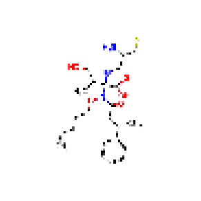 CCCCCON(C(=O)C[C@H](C)c1ccccc1)[C@@](NCC(N)CS)(C(=O)O)C(C)CO